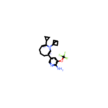 Nc1ncc(/C2=C/N(C34CC(C3)C4)/C(C3CC3)=C\CCC2)cc1OC(F)(F)F